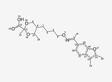 CC(=NOCCCCC1COC(C)(C(=O)O)OC1C)c1ccc2c(C)c(C)oc2c1